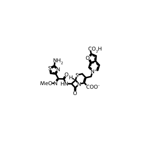 CON=C(C(=O)NC1C(=O)N2C(C(=O)[O-])=C(C[n+]3ccc4cc(C(=O)O)oc4c3)CS[C@@H]12)c1csc(N)n1